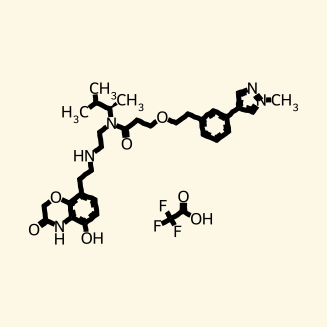 CC(C)[C@@H](C)N(CCNCCc1ccc(O)c2c1OCC(=O)N2)C(=O)CCOCCc1cccc(-c2cnn(C)c2)c1.O=C(O)C(F)(F)F